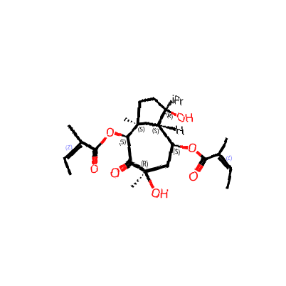 C/C=C(/C)C(=O)O[C@H]1C[C@@](C)(O)C(=O)[C@@H](OC(=O)/C(C)=C\C)[C@@]2(C)CC[C@@](O)(C(C)C)[C@H]12